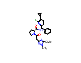 COc1nc(CC(=O)N2CCC[C@H]2C(=O)N[C@@H](c2ccccc2)c2ccc(C3CC3)c(F)n2)nn1C